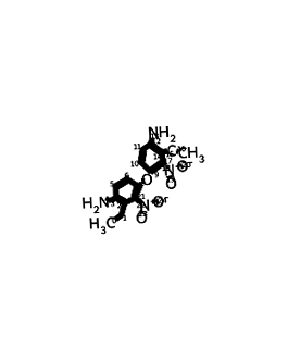 CCc1c(N)ccc(Oc2ccc(N)c(CC)c2[N+](=O)[O-])c1[N+](=O)[O-]